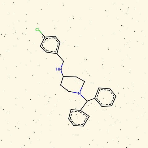 Clc1ccc(CNC2CCN(C(c3ccccc3)c3ccccc3)CC2)cc1